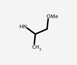 COCC(C)[NH]